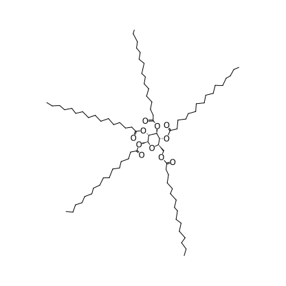 CCCCCCCCCCCCCCCC(=O)OC[C@H]1O[C@@H](OC(=O)CCCCCCCCCCCCCCC)[C@H](OC(=O)CCCCCCCCCCCCCCC)[C@@H](OC(=O)CCCCCCCCCCCCCCC)[C@@H]1OC(=O)CCCCCCCCCCCCCCC